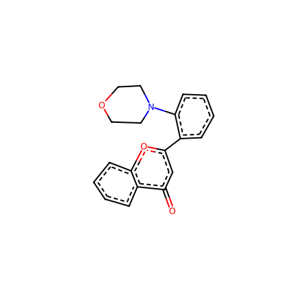 O=c1cc(-c2ccccc2N2CCOCC2)oc2ccccc12